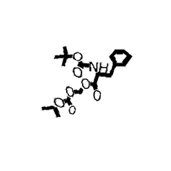 CC(C)OC(=O)OCOC(=O)C(Cc1ccccc1)NC(=O)OC(C)(C)C